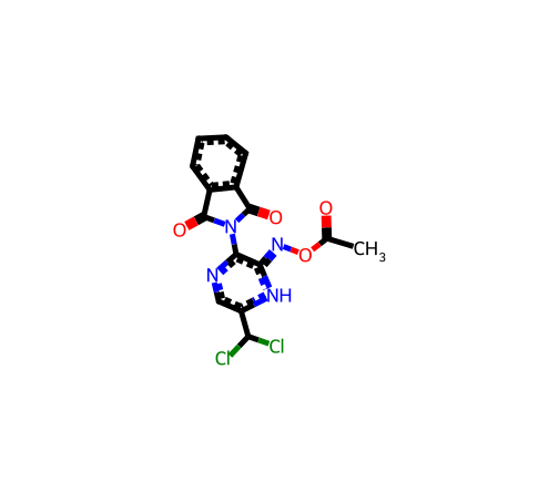 CC(=O)ON=c1[nH]c(C(Cl)Cl)cnc1N1C(=O)c2ccccc2C1=O